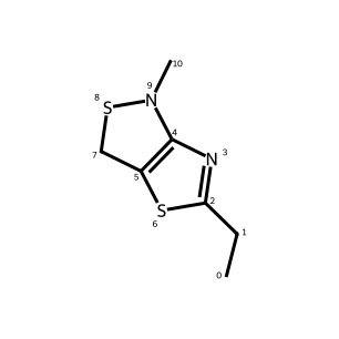 CCc1nc2c(s1)CSN2C